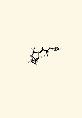 CC(C)(C)CC(=O)/C=C1/C(=O)C2CCC1C21CC1